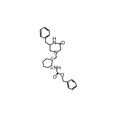 O=C1CN(C[C@@H]2CCCC[C@H]2NC(=O)OCc2ccccc2)CC(Cc2ccccc2)N1